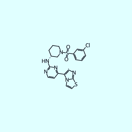 O=S(=O)(c1cccc(Cl)c1)N1CCC[C@@H](Nc2nccc(-c3[c]nc4sccn34)n2)C1